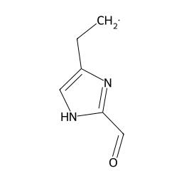 [CH2]Cc1c[nH]c(C=O)n1